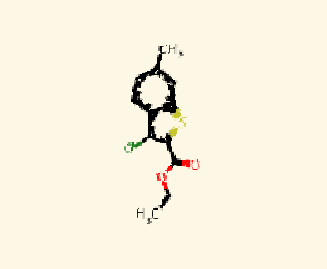 CCOC(=O)c1sc2cc(C)ccc2c1Cl